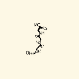 N#CC(=O)CNC(=O)CNC(=O)CNC=O